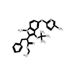 CCOC(=O)C(Cc1ccccc1)c1c(SC(C)(C)C)c2cc(Sc3ccc(C)cn3)ccc2n1C